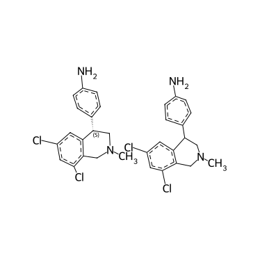 CN1Cc2c(Cl)cc(Cl)cc2C(c2ccc(N)cc2)C1.CN1Cc2c(Cl)cc(Cl)cc2[C@H](c2ccc(N)cc2)C1